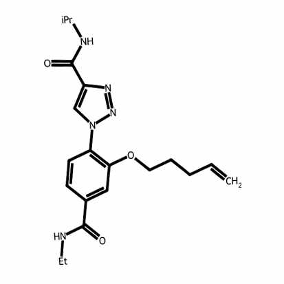 C=CCCCOc1cc(C(=O)NCC)ccc1-n1cc(C(=O)NC(C)C)nn1